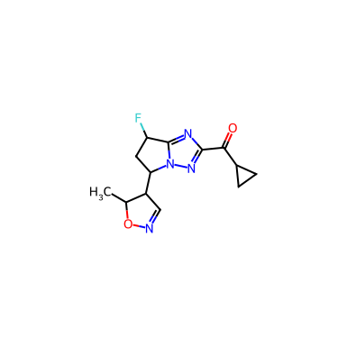 CC1ON=CC1C1CC(F)c2nc(C(=O)C3CC3)nn21